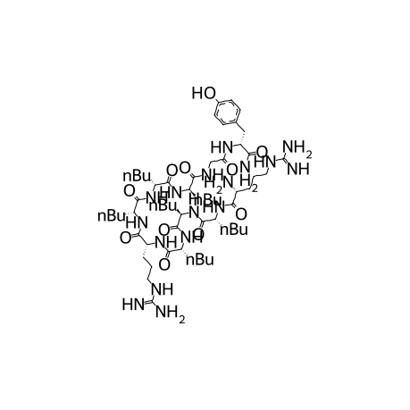 CCCC[C@@H](NC(=O)[C@H](N)CCCNC(=N)N)C(=O)N[C@H](CCCC)C(=O)N[C@H](CCCC)C(=O)N[C@H](CCCNC(=N)N)C(=O)N[C@H](CCCC)C(=O)N[C@H](CCCC)C(=O)N[C@H](CCCC)C(=O)NCC(=O)N[C@H](Cc1ccc(O)cc1)C(N)=O